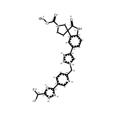 CC(C)(C)OC(=O)N1CCC2(C1)C(=O)Nc1ccc(-c3cn(Cc4ccc(-c5nnc(C(F)F)o5)cn4)nn3)cc12